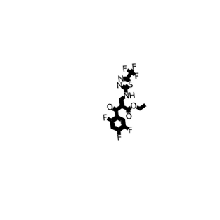 CCOC(=O)C(=CNc1nnc(C(F)(F)F)s1)C(=O)c1cc(F)c(F)cc1F